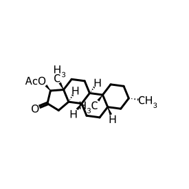 CC(=O)O[C@@H]1C(=O)C[C@@H]2[C@H]3CC[C@H]4C[C@@H](C)CC[C@@]4(C)[C@@H]3CC[C@@]12C